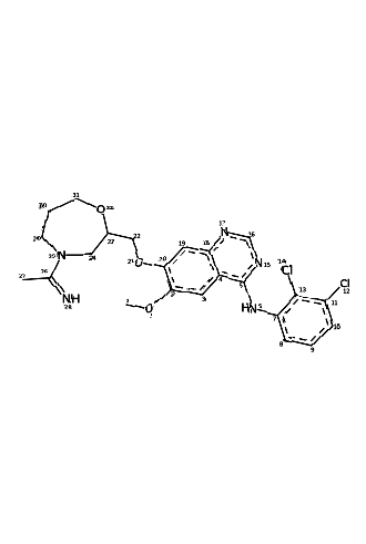 COc1cc2c(Nc3cccc(Cl)c3Cl)ncnc2cc1OCC1CN(C(C)=N)CCCO1